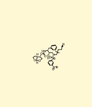 CC(C)(CCC#N)CN(C[C@@H](O)[C@H](Cc1ccccc1)NC(=O)O[C@H]1CO[C@H]2OCC[C@H]21)S(=O)(=O)c1cccc([N+](=O)[O-])c1